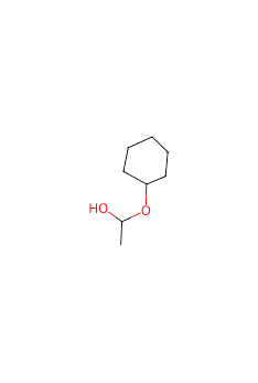 CC(O)OC1CCCCC1